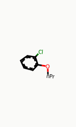 C[CH]COc1ccccc1Cl